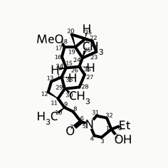 CCC1(O)CCN(C(=O)C[C@@H](C)[C@H]2CC[C@H]3[C@@H]4CC(OC)[C@]56C[C@H]5CC[C@]6(C)[C@H]4CC[C@]23C)CC1